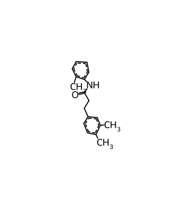 Cc1ccc(CCC(=O)Nc2ccccc2C)cc1C